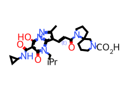 Cc1nn2c(O)c(C(=O)NC3CC3)c(=O)n(CC(C)C)c2c1/C=C/C(=O)N1CCCC12CCCN(C(=O)O)C2